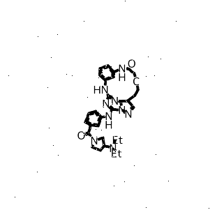 CCN(CC)C1CCN(C(=O)c2cccc(NC3=NC4=NC5C(C=NN35)CCCCC(=O)Nc3cccc(c3)N4)c2)C1